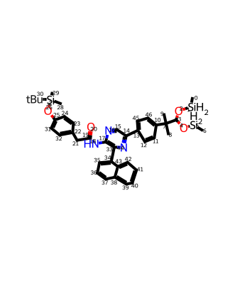 C[SiH2]OC(O[SiH2]C)C(C)(C)c1ccc(-c2cnc(NC(=O)Cc3ccc(O[Si](C)(C)C(C)(C)C)cc3)c(-c3cccc4ccccc34)n2)cc1